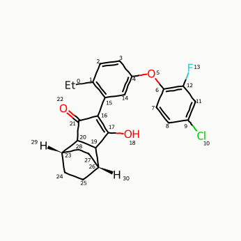 CCc1ccc(Oc2ccc(Cl)cc2F)cc1C1=C(O)C2C(C1=O)[C@H]1CC[C@@H]2CC1